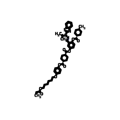 C=CC(=O)OCCCCCCOc1ccc(OC(=O)[C@H]2CC[C@H](C(=O)Oc3ccc(OC(=O)[C@H]4CC[C@H](C)CC4)c(/C=N/N(C(=C)C)c4nc5ccccc5s4)c3)CC2)cc1